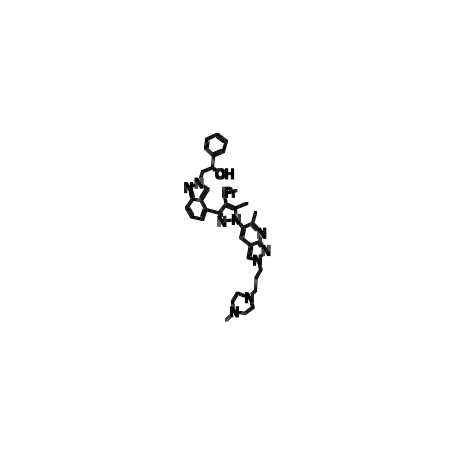 Cc1nc2nn(CCCN3CCN(C)CC3)cc2cc1-n1nc(-c2cccc3nn(C[C@H](O)c4ccccc4)cc23)c(C(C)C)c1C